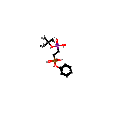 C[Si](C)(C)OP(=O)(O)CCS(=O)(=O)Oc1ccccc1